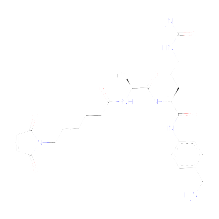 CC(C)[C@H](NC(=O)CCCCCN1C(=O)C=CC1=O)C(=O)N[C@@H](CCCNC(N)=O)C(=O)Nc1ccc(CN)cc1